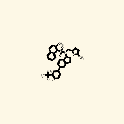 Cc1ccc2ccccc2c1S(=O)(=O)N(Cc1ccc(C(F)(F)F)o1)C1CCc2cc(-c3cccc(C(C)(C)C(=O)O)c3)ccc21